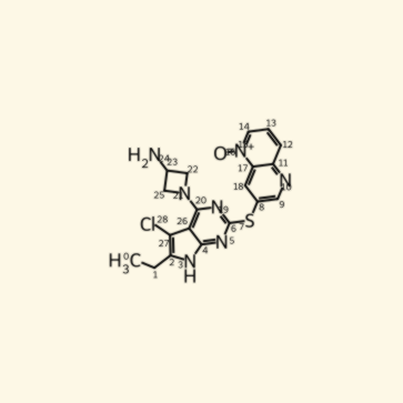 CCc1[nH]c2nc(Sc3cnc4ccc[n+]([O-])c4c3)nc(N3CC(N)C3)c2c1Cl